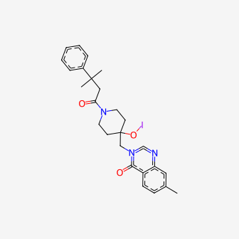 Cc1ccc2c(=O)n(CC3(OI)CCN(C(=O)CC(C)(C)c4ccccc4)CC3)cnc2c1